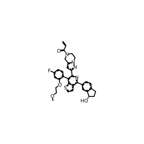 C=CC(=O)N1CCn2nc(-c3nc(-c4ccc5c(c4)[C@H](O)CC5)c4ccsc4c3-c3ccc(F)cc3OCCOC)cc2C1